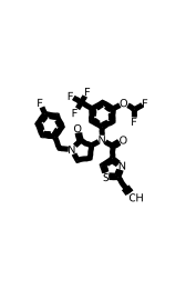 C#Cc1nc(C(=O)N(c2cc(OC(F)F)cc(C(F)(F)F)c2)C2CCN(Cc3ccc(F)cc3)C2=O)cs1